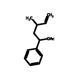 C=CC(C)CC(OC(C)=O)c1ccccc1